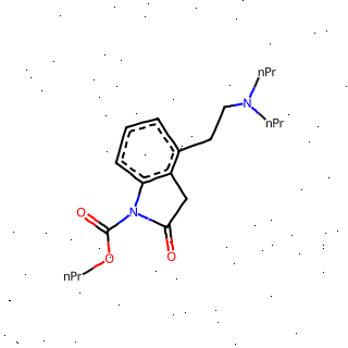 CCCOC(=O)N1C(=O)Cc2c(CCN(CCC)CCC)cccc21